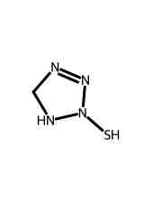 SN1N=NCN1